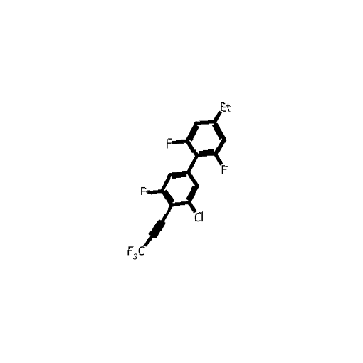 CCc1cc(F)c(-c2cc(F)c(C#CC(F)(F)F)c(Cl)c2)c(F)c1